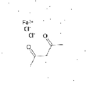 CC(=O)CC(C)=O.[Cl-].[Cl-].[Fe+2]